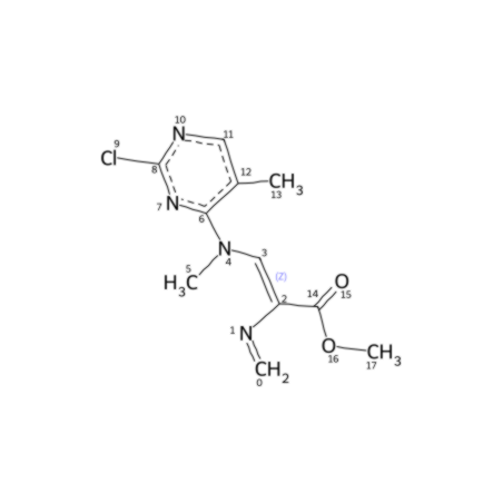 C=N/C(=C\N(C)c1nc(Cl)ncc1C)C(=O)OC